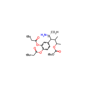 CC(C)COC(=O)OC(C)C(C)C(c1ccc(OC(=O)CC(C)(C)C)c(OC(=O)CC(C)(C)C)c1)[C@H](N)C(=O)O